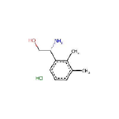 Cc1cccc([C@@H](N)CO)c1C.Cl